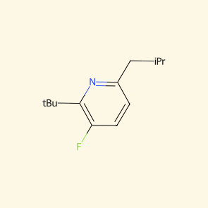 CC(C)Cc1ccc(F)c(C(C)(C)C)n1